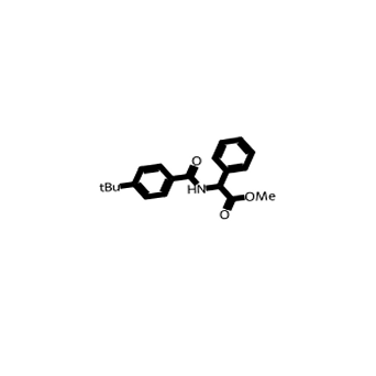 COC(=O)C(NC(=O)c1ccc(C(C)(C)C)cc1)c1ccccc1